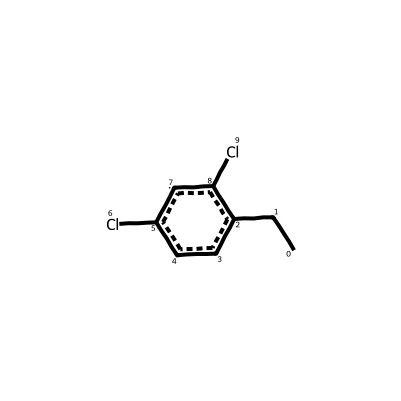 CCc1ccc(Cl)[c]c1Cl